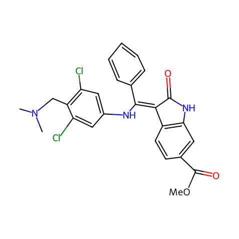 COC(=O)c1ccc2c(c1)NC(=O)C2=C(Nc1cc(Cl)c(CN(C)C)c(Cl)c1)c1ccccc1